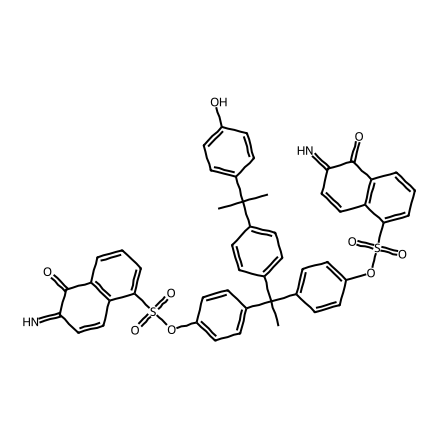 CC(C)(c1ccc(O)cc1)c1ccc(C(C)(c2ccc(OS(=O)(=O)c3cccc4c3C=CC(=N)C4=O)cc2)c2ccc(OS(=O)(=O)c3cccc4c3C=CC(=N)C4=O)cc2)cc1